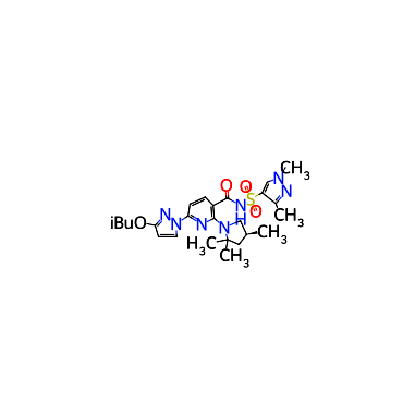 Cc1nn(C)cc1S(=O)(=O)NC(=O)c1ccc(-n2ccc(OCC(C)C)n2)nc1N1C[C@@H](C)CC1(C)C